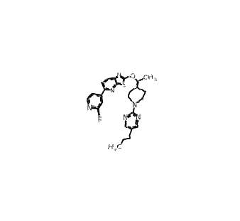 CCCc1cnc(N2CCC([C@H](C)Oc3nc4ccc(-c5ccnc(F)c5)nc4s3)CC2)nc1